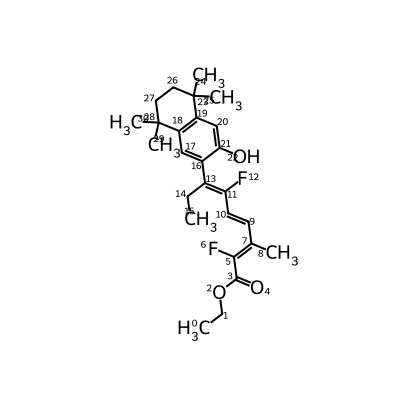 CCOC(=O)C(F)=C(C)C=CC(F)=C(CC)c1cc2c(cc1O)C(C)(C)CCC2(C)C